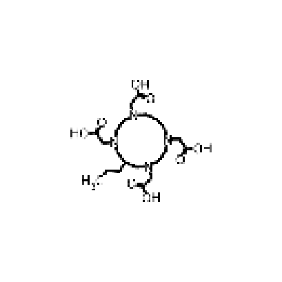 CCCC1CN(CC(=O)O)CCN(CC(=O)O)CCCN(CC(=O)O)CCN(CC(=O)O)C1